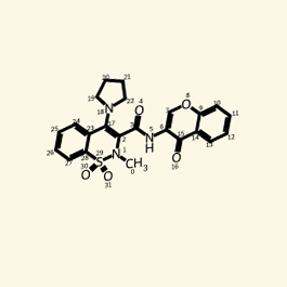 CN1C(C(=O)Nc2coc3ccccc3c2=O)=C(N2CCCC2)c2ccccc2S1(=O)=O